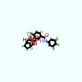 O=C(Nc1cc(F)c(F)c(F)c1)c1ccc(Cl)c(S(=O)(=O)C2C3CC[C@H]2C[C@](O)(CO)C3)c1